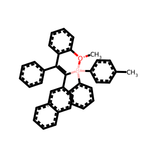 Cc1ccc([B-]2(c3ccccc3)C(c3ccc4ccccc4c3)=C(c3ccccc3)c3ccccc3[O+]2C)cc1